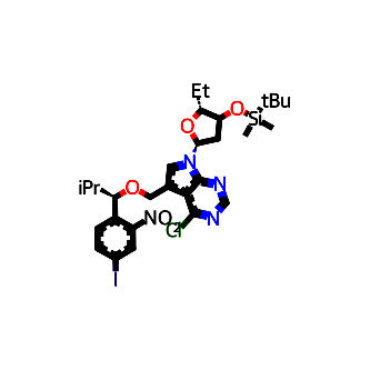 CC[C@H]1O[C@@H](n2cc(CO[C@@H](c3ccc(I)cc3[N+](=O)[O-])C(C)C)c3c(Cl)ncnc32)CC1O[Si](C)(C)C(C)(C)C